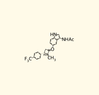 CC(=O)Nc1c[nH]c2ccc(O[C@@H]3C[C@@H](c4ccc(C(F)(F)F)cc4)[C@@H]3C)cc12